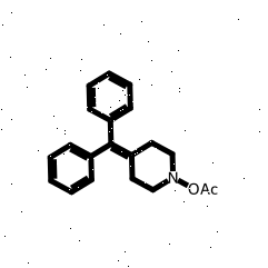 CC(=O)ON1CCC(=C(c2ccccc2)c2ccccc2)CC1